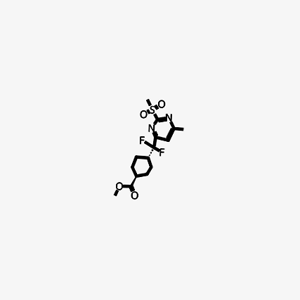 COC(=O)[C@H]1CC[C@H](C(F)(F)c2cc(C)nc(S(C)(=O)=O)n2)CC1